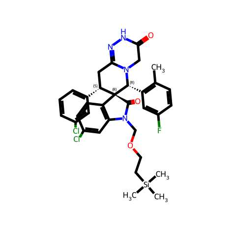 Cc1ccc(F)cc1[C@H]1N2CC(=O)NN=C2C[C@@H](c2cccc(Cl)c2)[C@]12C(=O)N(COCC[Si](C)(C)C)c1cc(Cl)ccc12